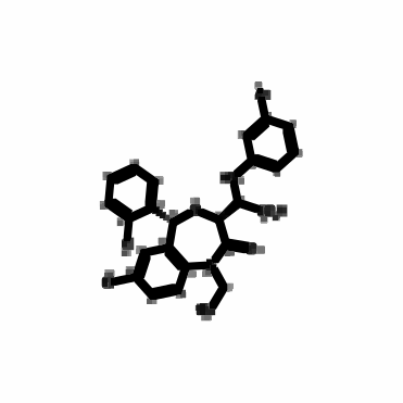 CC(=O)c1cccc(NC(C(=O)O)[C@@H]2O[C@@H](c3ccccc3Cl)c3cc(Cl)ccc3N(CC(C)(C)C)C2=O)c1